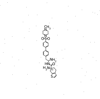 CN1CCN(S(=O)(=O)c2ccc(-c3ccc(CC(N)NC(=O)[C@]4(N)CCc5ccsc5C4)cc3)cc2)CC1